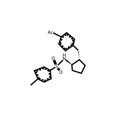 CC(=O)c1ccc(C[C@@H]2CCC[C@H]2NS(=O)(=O)c2ccc(C)cc2)cc1